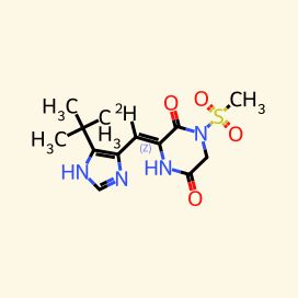 [2H]/C(=C1/NC(=O)CN(S(C)(=O)=O)C1=O)c1nc[nH]c1C(C)(C)C